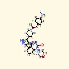 CN(C)c1ccc(CC(=O)N2CCC(c3[nH]nc4c3C(=O)c3c-4cccc3N(C(N)=O)N3CCOCC3)CC2)cc1